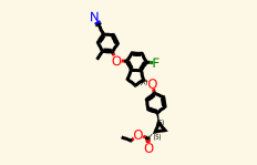 CCOC(=O)[C@H]1C[C@@H]1c1ccc(O[C@@H]2CCc3c(Oc4ccc(C#N)cc4C)ccc(F)c32)cc1